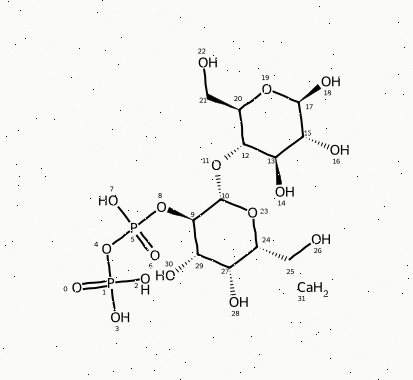 O=P(O)(O)OP(=O)(O)O[C@H]1[C@H](O[C@H]2[C@H](O)[C@@H](O)[C@H](O)O[C@@H]2CO)O[C@H](CO)[C@H](O)[C@@H]1O.[CaH2]